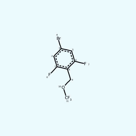 Fc1cc(Br)cc(F)c1COC(F)(F)F